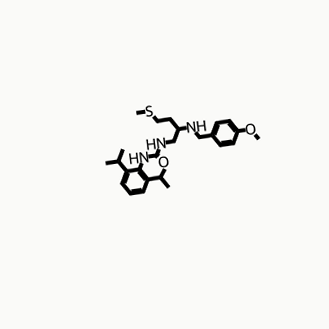 COc1ccc(CNC(CCSC)CNC(=O)Nc2c(C(C)C)cccc2C(C)C)cc1